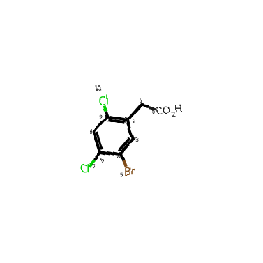 O=C(O)Cc1cc(Br)c(Cl)cc1Cl